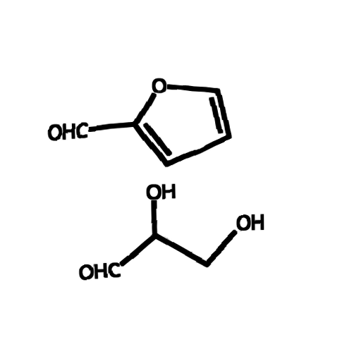 O=CC(O)CO.O=Cc1ccco1